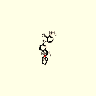 Nc1nccc(Sc2ccc3nc(N4C5CCC4CC(N)C5)cnc3n2)c1Cl